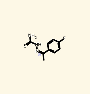 C/C(=N/NC(N)=S)c1ccc(F)cc1